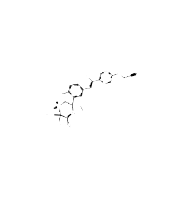 C#CCOc1cnc(/C(F)=C/c2ccc(F)c([C@]3(CF)CS(=O)(=O)C(C)(C)C(N)=N3)c2)cn1